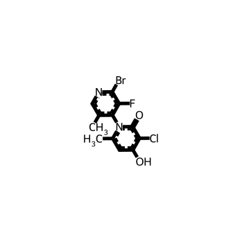 Cc1cnc(Br)c(F)c1-n1c(C)cc(O)c(Cl)c1=O